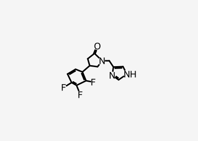 O=C1CC(c2ccc(F)c(F)c2F)CN1Cc1c[nH]cn1